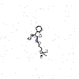 CO/N=C1\C(=N\OCCOS(C)(=O)=O)Oc2ccccc21